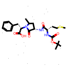 CSCC[C@H](NC(=O)OC(C)(C)C)C(=O)N[C@H]1CC(C)N([C@@H](Cc2ccccc2)C(=O)O)C1=O